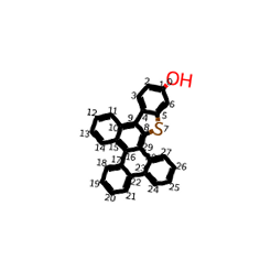 Oc1ccc2c(c1)sc1c2c2ccccc2c2c3ccccc3c3ccccc3c12